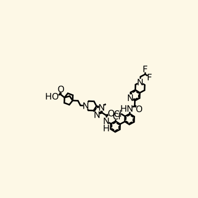 Cn1c(C(=O)Nc2cccc(-c3cccc(NC(=O)c4cc5c(cn4)CN(CC(F)F)CC5)c3Cl)c2Cl)nc2c1CCN(CCC13CCC(C(=O)O)(CC1)C3)C2